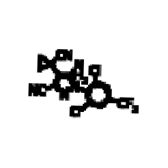 N#Cc1nn(-c2c(Cl)cc(C(F)(F)F)cc2Cl)c(N)c1C1(C#N)CC1